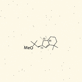 COC(C)(C)C[C@@H]1C=C2C(C)(C)CCC[C@]2(C)[C@H]1C